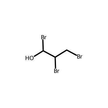 OC(Br)C(Br)CBr